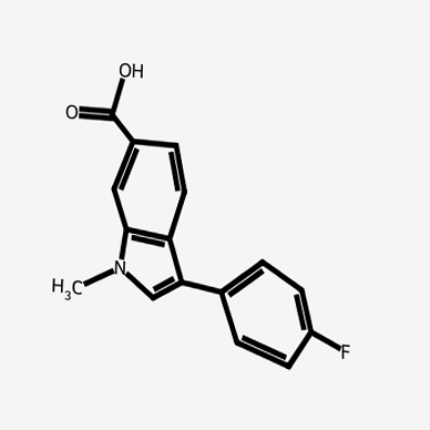 Cn1cc(-c2ccc(F)cc2)c2ccc(C(=O)O)cc21